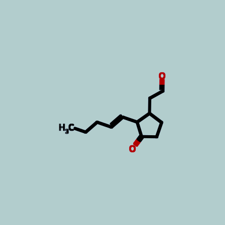 CCCC=CC1C(=O)CCC1CC=O